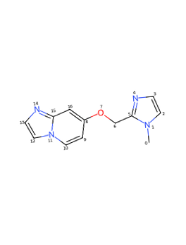 Cn1ccnc1COc1ccn2ccnc2c1